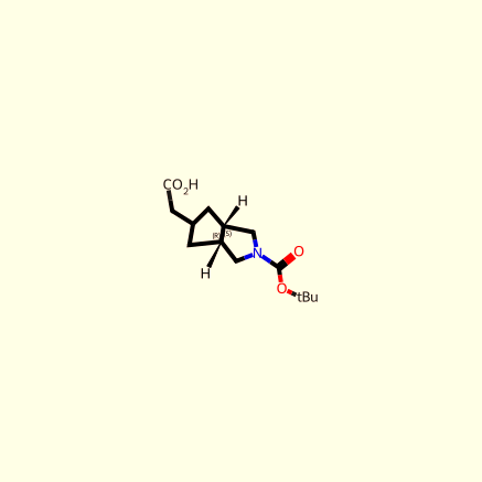 CC(C)(C)OC(=O)N1C[C@H]2CC(CC(=O)O)C[C@H]2C1